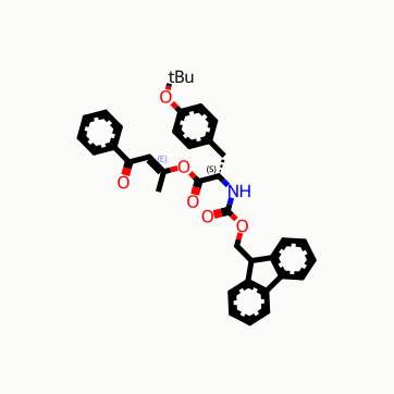 C/C(=C\C(=O)c1ccccc1)OC(=O)[C@H](Cc1ccc(OC(C)(C)C)cc1)NC(=O)OCC1c2ccccc2-c2ccccc21